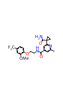 COc1cc(C(F)(F)F)ccc1OCCNC(=O)c1cc(C)nc(C2(C(N)=O)CC2)c1